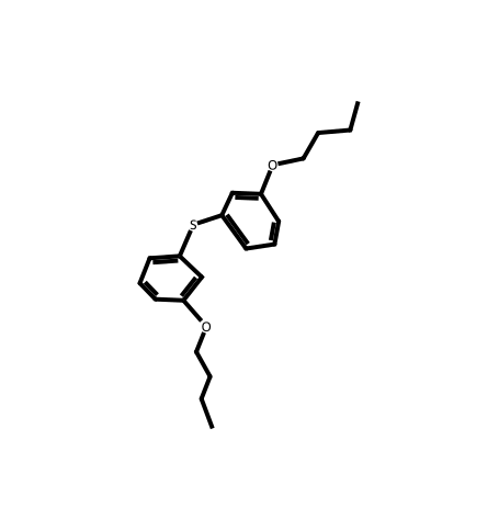 CCCCOc1cccc(Sc2cccc(OCCCC)c2)c1